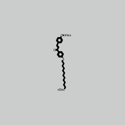 CCCCCCCCCCCCCCCCCCCCCCSc1ccc(C(=O)C=Cc2ccc(OCCCCCC)cc2)cc1